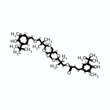 Cc1cc(CCC(=O)OCC(C)(C)C2OCC3(COC(C(C)(C)COCc4cc(C)c(O)c(C(C)(C)C)c4)OC3)CO2)cc(C(C)(C)C)c1O